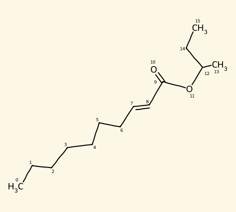 CCCCCCC/C=C/C(=O)OC(C)CC